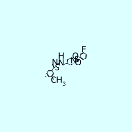 Cc1[c]ccc(-c2cnc(NCC3CCN(S(=O)(=O)c4cccc(F)c4)CC3)s2)c1